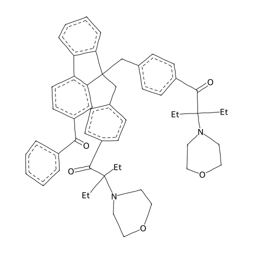 CCC(CC)(C(=O)c1ccc(CC2(Cc3ccc(C(=O)C(CC)(CC)N4CCOCC4)cc3)c3ccccc3-c3ccc(C(=O)c4ccccc4)cc32)cc1)N1CCOCC1